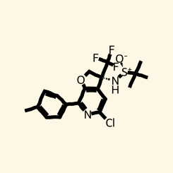 Cc1ccc(-c2nc(Cl)cc3c2OC[C@@]3(N[S@+]([O-])C(C)(C)C)C(F)(F)F)cc1